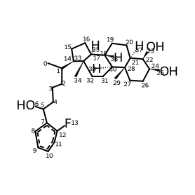 CC(CCCC(O)c1ccccc1F)[C@H]1CC[C@H]2[C@@H]3CC[C@H]4[C@@H](O)[C@@H](O)CC[C@]4(C)[C@H]3CC[C@]12C